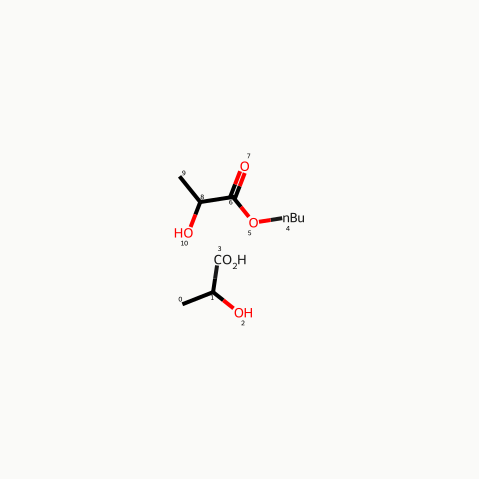 CC(O)C(=O)O.CCCCOC(=O)C(C)O